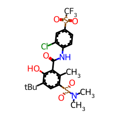 Cc1c(S(=O)(=O)N(C)C)cc(C(C)(C)C)c(O)c1C(=O)Nc1ccc(S(=O)(=O)C(F)(F)F)cc1Cl